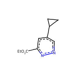 CCOC(=O)c1cc(C2CC2)cnn1